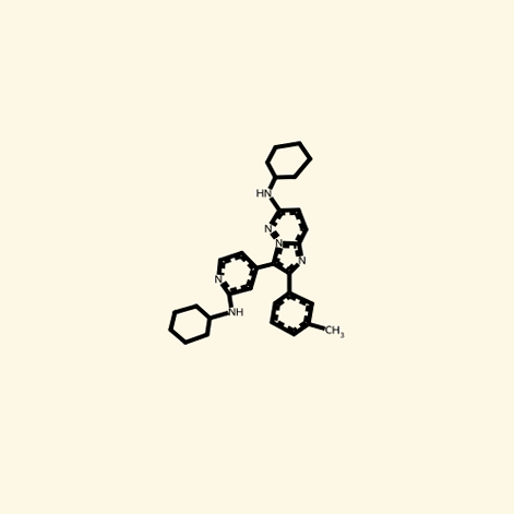 Cc1cccc(-c2nc3ccc(NC4CCCCC4)nn3c2-c2ccnc(NC3CCCCC3)c2)c1